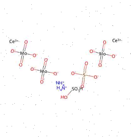 O=S(=O)(O)O.O=S(=O)([O-])[O-].[Ce+3].[Ce+3].[NH4+].[NH4+].[O]=[Mo](=[O])([O-])[O-].[O]=[Mo](=[O])([O-])[O-].[O]=[Mo](=[O])([O-])[O-]